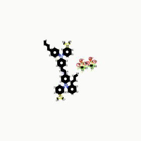 CCCCc1ccc(N(c2ccc(/C=C/c3ccc(N(c4cccc([S+](C)C)c4)c4ccccc4CCCC)cc3)cc2)c2cccc([S+](C)C)c2)cc1.O=S(=O)([O-])C(F)(F)F.O=S(=O)([O-])C(F)(F)F